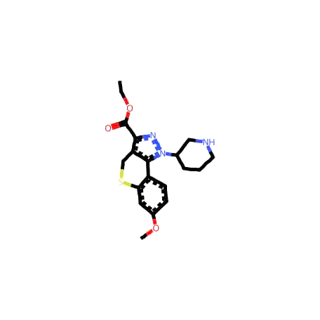 CCOC(=O)c1nn(C2CCCNC2)c2c1CSc1cc(OC)ccc1-2